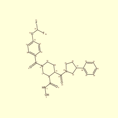 O=C(NO)C1CN(C(=O)c2ccc(OC(F)F)cc2)CCC1C(=O)N1CCC(c2ccccc2)C1